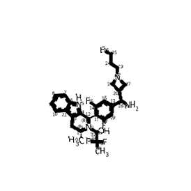 C[C@@H]1Cc2c([nH]c3ccccc23)[C@@H](c2c(F)cc(C(N)C3CN(CCCF)C3)cc2F)N1C(O)C(C)(F)F